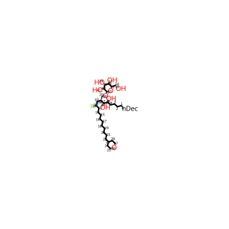 CCCCCCCCCCCCCC[C@@H](O)[C@@H](O)[C@@H](/C=C(/F)CCCCCCCCCCC1CCOCC1)COC1OC(CO)C(O)C(O)C1O